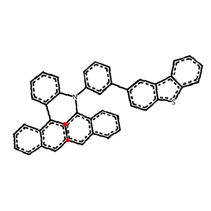 c1cc(-c2ccc3sc4ccccc4c3c2)cc(N(c2ccccc2-c2cccc3ccccc23)c2cccc3ccccc23)c1